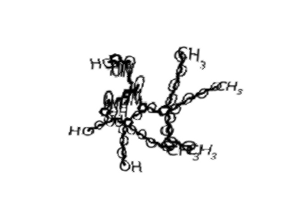 CCC(CCCNC(=O)c1cccc(O)c1O)(CCCNC(=O)c1cccc(O)c1O)C(=O)NCc1cc(OCc2cc(OCCOCCOCCO)c(OCCOCCOCCO)c(OCCOCCOCCOC)c2)cc(OCc2cc(OCCOCCOCCOC)c(OCCOCCOCCOC)c(OCCOCCOCCOC)c2)c1